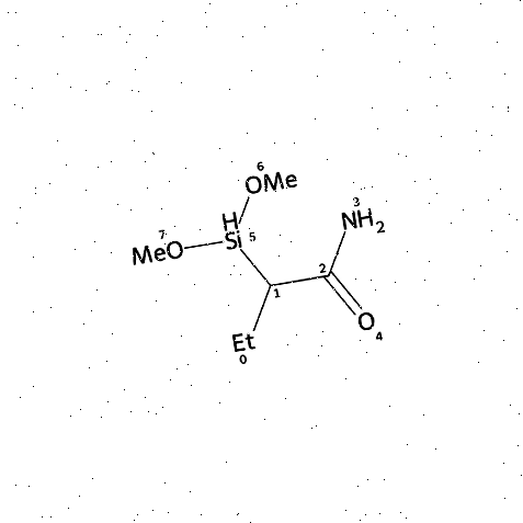 CCC(C(N)=O)[SiH](OC)OC